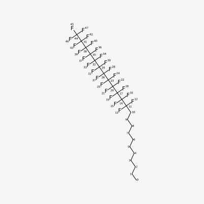 CCCCCCCCCCCC(F)(F)C(F)(F)C(F)(F)C(F)(F)C(F)(F)C(F)(F)C(F)(F)C(F)(F)C(F)(F)C(F)(F)C(F)(F)C(F)(F)F